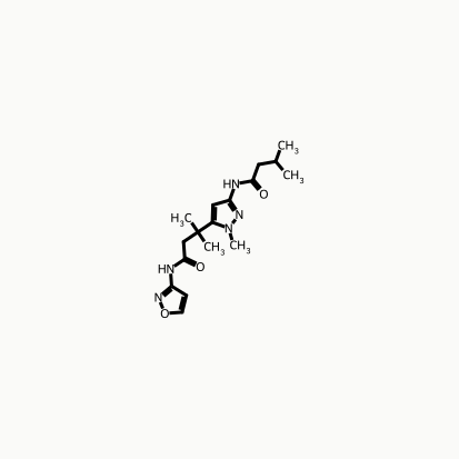 CC(C)CC(=O)Nc1cc(C(C)(C)CC(=O)Nc2ccon2)n(C)n1